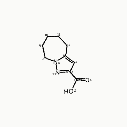 O=C(O)c1cc2n(n1)CCCCC2